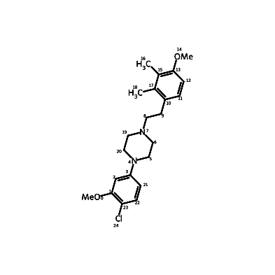 COc1cc(N2CCN(CCc3ccc(OC)c(C)c3C)CC2)ccc1Cl